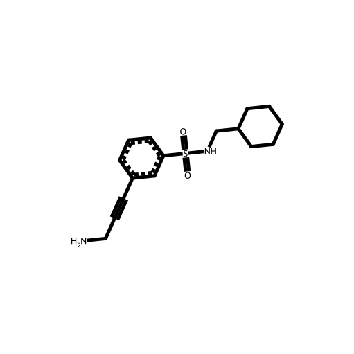 NCC#Cc1cccc(S(=O)(=O)NCC2CCCCC2)c1